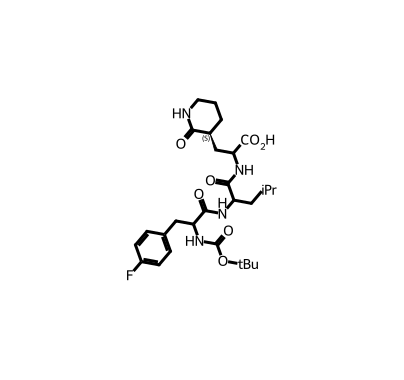 CC(C)CC(NC(=O)C(Cc1ccc(F)cc1)NC(=O)OC(C)(C)C)C(=O)NC(C[C@@H]1CCCNC1=O)C(=O)O